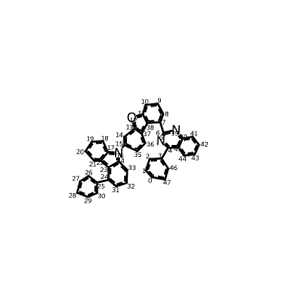 c1ccc(-c2nc(-c3cccc4oc5cc(-n6c7ccccc7c7c(-c8ccccc8)cccc76)ccc5c34)nc3ccccc23)cc1